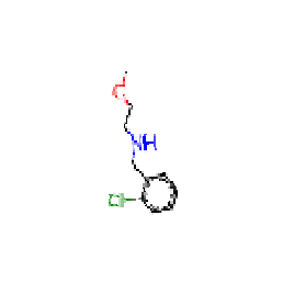 COCCNCc1ccccc1Cl